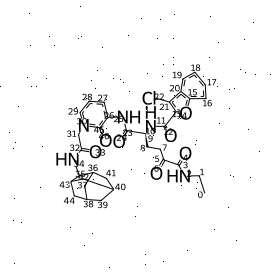 CCNC(=O)C(=O)CC[C@H](NC(=O)c1oc2ccccc2c1Cl)C(=O)Nc1cccn(CC(=O)NC2C3CC4CC(C3)CC2C4)c1=O